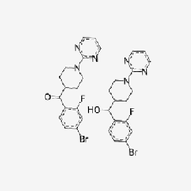 O=C(c1ccc(Br)cc1F)C1CCN(c2ncccn2)CC1.OC(c1ccc(Br)cc1F)C1CCN(c2ncccn2)CC1